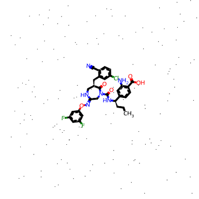 CCC[C@@H](NC(=O)N1C/C(=N/Oc2cc(F)cc(F)c2)NC[C@@H](Cc2cc(Cl)ccc2C#N)C1=O)c1ccc(C(=O)O)c(N)c1